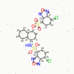 O=S(=O)(Nc1ccc(OS(=O)(=O)c2ccc(Cl)c3nonc23)c2ccccc12)c1ccc(Cl)c2nonc12